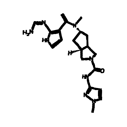 C=C(c1cc[nH]c1/N=C\N)N(C)[C@@H]1CC2CN(C(=O)Nc3ccn(C)n3)C[C@H]2C1